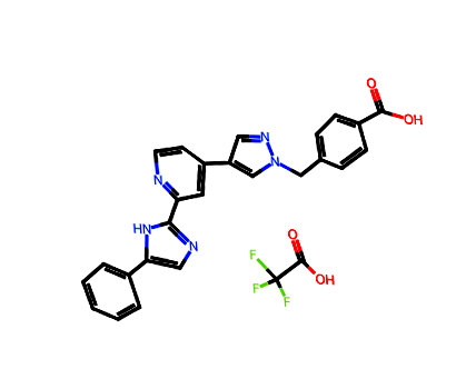 O=C(O)C(F)(F)F.O=C(O)c1ccc(Cn2cc(-c3ccnc(-c4ncc(-c5ccccc5)[nH]4)c3)cn2)cc1